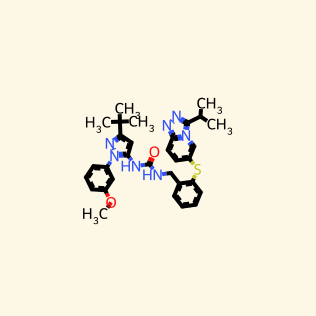 COc1cccc(-n2nc(C(C)(C)C)cc2NC(=O)NCc2ccccc2Sc2ccc3nnc(C(C)C)n3c2)c1